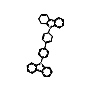 C1=Cc2c(n(C3C=CC(c4ccc(-n5c6ccccc6c6ccccc65)cc4)=CC3)c3ccccc23)CC1